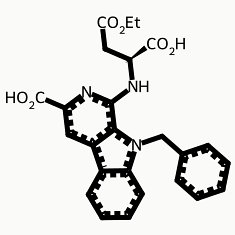 CCOC(=O)C[C@H](Nc1nc(C(=O)O)cc2c3ccccc3n(Cc3ccccc3)c12)C(=O)O